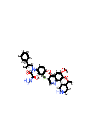 COc1cc2c(Oc3ccc(N(CC(C)c4ccccc4)C(=O)C(N)=O)cc3F)ccnc2cc1OC(C)C1CCNCC1